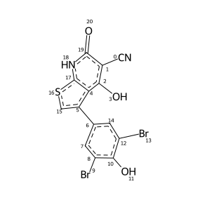 N#Cc1c(O)c2c(-c3cc(Br)c(O)c(Br)c3)csc2[nH]c1=O